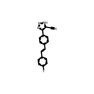 N#Cc1[nH]nnc1-c1ccc(/C=C/c2ccc(F)cc2)cc1